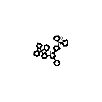 c1ccc(-c2cc(-c3ccc(N4c5ccccc5Oc5ccccc54)cc3)nc(-c3cccc4c3-c3ccccc3C43c4ccccc4-c4ccccc43)c2)cc1